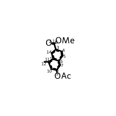 COC(=O)c1ccc2cc(OC(C)=O)cc(C)c2c1